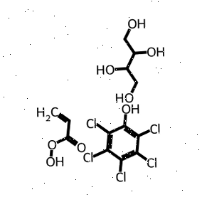 C=CC(=O)OO.OCC(O)C(O)CO.Oc1c(Cl)c(Cl)c(Cl)c(Cl)c1Cl